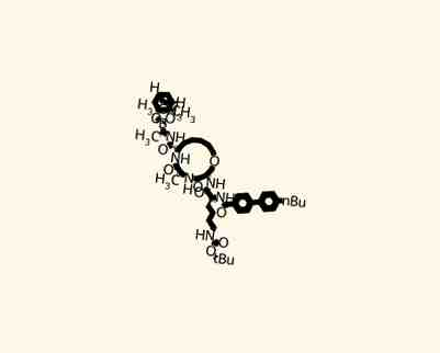 CCCCc1ccc(-c2ccc(C(=O)N[C@@H](CCCCNC(=O)OC(C)(C)C)C(=O)N[C@H]3COCCCCC[C@@H](C(=O)N[C@@H](C)B4OC5C[C@@H]6C[C@@H](C6(C)C)[C@]5(C)O4)NC(=O)[C@H](C)NC3=O)cc2)cc1